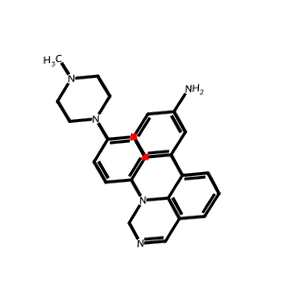 CN1CCN(c2ccc(N3CN=Cc4cccc(-c5cccc(N)c5)c43)cn2)CC1